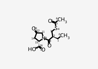 CC[C@H](CSC(C)=O)C(=O)N1CC(=O)C[C@H]1C(=O)O